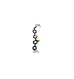 CCCC1CCC(C2CCC(c3ccc(-c4ccc(C)cc4)c(F)c3C(F)(F)F)CO2)CC1